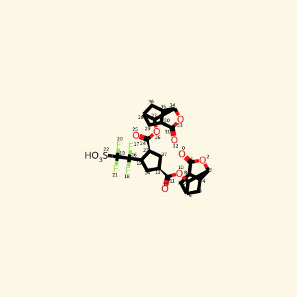 O=C1OC2C3CC(CC13)C2OC(=O)[C@H]1CC(C(F)(F)C(F)(F)S(=O)(=O)O)[C@@H](C(=O)OC2C3CC4C(=O)OC2C4C3)C1